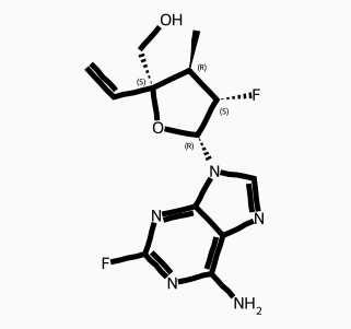 C=C[C@]1(CO)O[C@@H](n2cnc3c(N)nc(F)nc32)[C@@H](F)[C@@H]1C